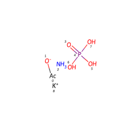 CC(=O)[O-].N.O=P(O)(O)O.[K+]